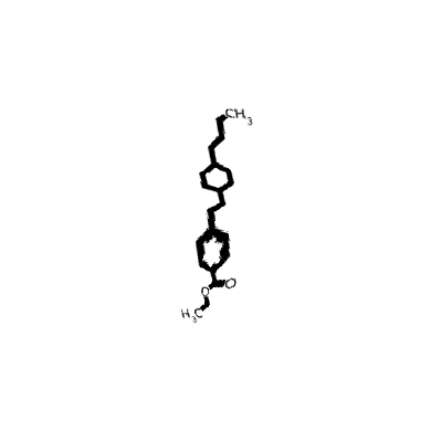 CCCCC1CCC(CCc2ccc(C(=O)OCC)cc2)CC1